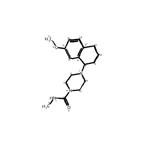 CNC(=O)N1CCN(C2CCCc3ccc(OC)cc32)CC1